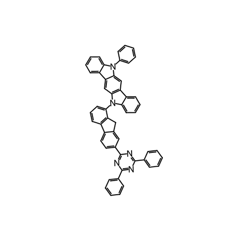 c1ccc(-c2nc(-c3ccccc3)nc(-c3ccc4c(c3)Cc3c-4cccc3-n3c4ccccc4c4cc5c(cc43)c3ccccc3n5-c3ccccc3)n2)cc1